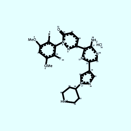 COc1cc(OC)c(F)c(-n2nc(-c3nc(-c4cnn(C5CCNCC5)c4)cnc3N)ccc2=O)c1F.Cl